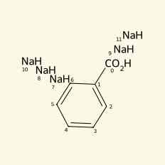 O=C(O)c1ccccc1.[NaH].[NaH].[NaH].[NaH].[NaH]